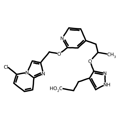 CC(Cc1ccnc(OCc2cn3c(Cl)cccc3n2)c1)Oc1n[nH]cc1CCC(=O)O